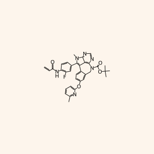 C=CC(=O)Nc1ccc(-c2c3c4c(ncnc4n2C)N(C(=O)OC(C)(C)C)Cc2cc(Oc4cccc(C)n4)ccc2-3)cc1F